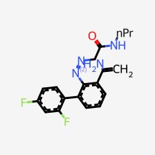 C=C(N)c1cccc(-c2ccc(F)cc2F)c1/N=N\CC(=O)NCCC